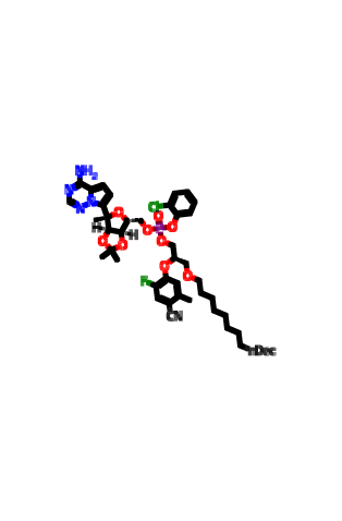 CCCCCCCCCCCCCCCCCCOC[C@H](COP(=O)(OC[C@H]1O[C@@](C)(c2ccc3c(N)ncnn23)[C@@H]2OC(C)(C)O[C@@H]21)Oc1ccccc1Cl)Oc1cc(C)c(C#N)cc1F